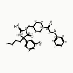 CCCCC1(c2cncc(Br)c2)NC(=N)N(CC2CCN(C(=O)COc3ccccc3)CC2)C1=O